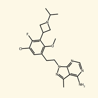 COc1c(CCn2nc(C)c3c(N)ncnc32)cc(Cl)c(F)c1C1CN(C(C)C)C1